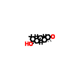 C[C@H]1C(=O)CC[C@@H]2[C@]1(C)CC[C@H]1[C@@]2(C)CCC2[C@@H]3CC(C)(C)CC[C@]3(CO)CC[C@]21C